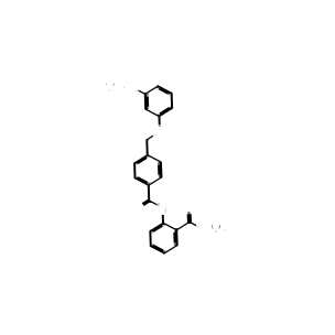 COC(=O)c1ccccc1NC(=O)c1ccc(COc2cccc(OC)c2)cc1